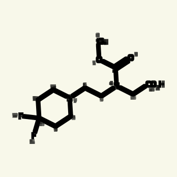 CC(C)(C)OC(=O)N(CCN1CCC(F)(F)CC1)CC(=O)O